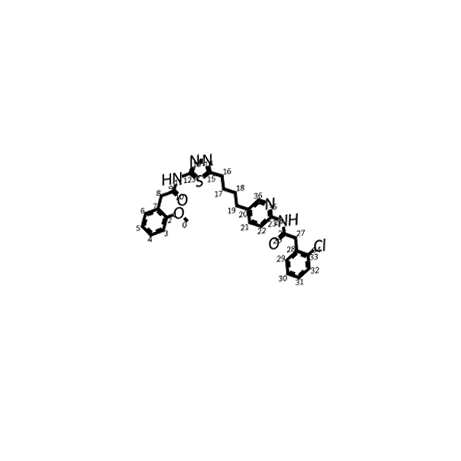 COc1ccccc1CC(=O)Nc1nnc(CCCCc2ccc(NC(=O)Cc3ccccc3Cl)nc2)s1